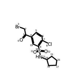 O=C(CBr)c1ccc(Cl)c(S(=O)(=O)NC2CCCC2)c1